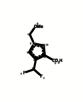 COCn1cc(C(F)F)c(C(=O)O)n1